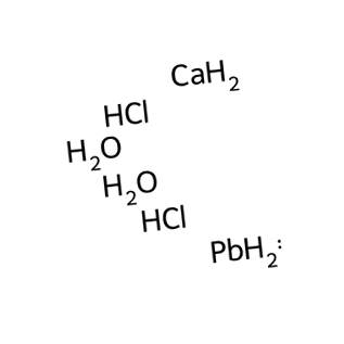 Cl.Cl.O.O.[CaH2].[PbH2]